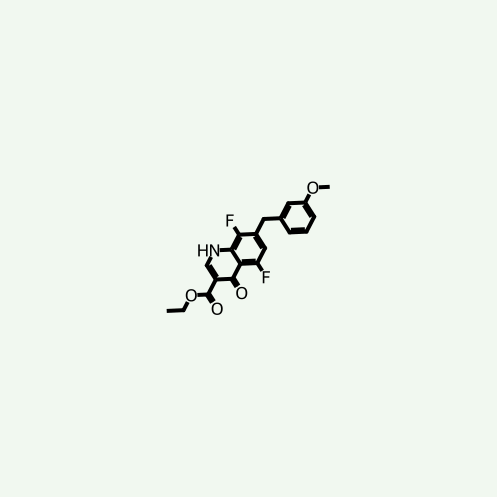 CCOC(=O)c1c[nH]c2c(F)c(Cc3cccc(OC)c3)cc(F)c2c1=O